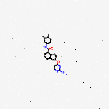 Cc1ccc(NC(=O)c2cccc3cc(Oc4ccnc(N)n4)ccc23)cc1C